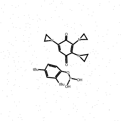 CC(C)(C)c1ccc(OP(O)O)c(C(C)(C)C)c1.O=C1C=C(N2CC2)C(=O)C(N2CC2)=C1N1CC1